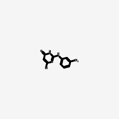 CCc1cc(=O)[nH]c(Nc2cccc(C(F)(F)F)c2)n1